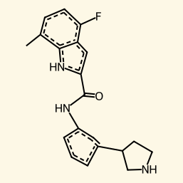 Cc1ccc(F)c2cc(C(=O)Nc3cccc(C4CCNC4)c3)[nH]c12